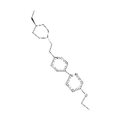 CCOc1ccc(-c2ccc(CC[C@H]3CC[C@H](CC)CC3)cc2)nc1